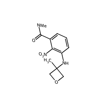 CNC(=O)c1cccc(NC2(C)COC2)c1[N+](=O)[O-]